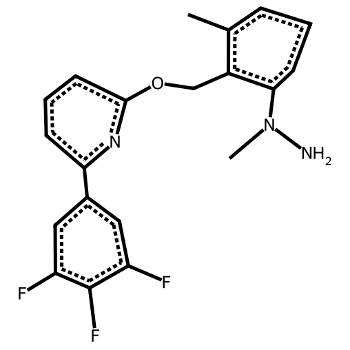 Cc1cccc(N(C)N)c1COc1cccc(-c2cc(F)c(F)c(F)c2)n1